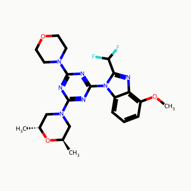 COc1cccc2c1nc(C(F)F)n2-c1nc(N2CCOCC2)nc(N2C[C@@H](C)O[C@H](C)C2)n1